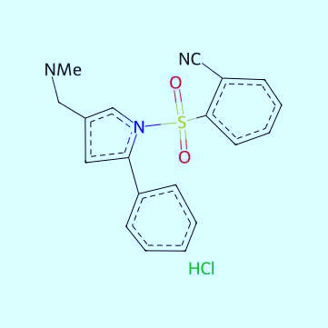 CNCc1cc(-c2ccccc2)n(S(=O)(=O)c2ccccc2C#N)c1.Cl